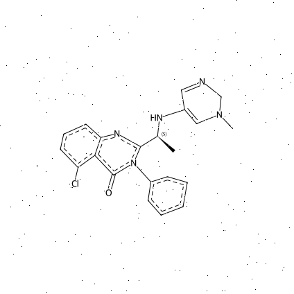 C[C@H](NC1=CN(C)CN=C1)c1nc2cccc(Cl)c2c(=O)n1-c1ccccc1